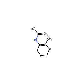 C=C(NC1=C(C)CCCC1)C(C)CC